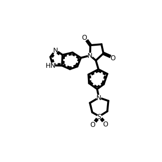 O=C1CC(=O)N(c2ccc3[nH]cnc3c2)C1c1ccc(N2CCS(=O)(=O)CC2)cc1